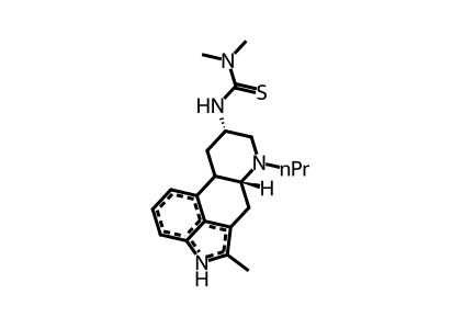 CCCN1C[C@@H](NC(=S)N(C)C)CC2c3cccc4[nH]c(C)c(c34)C[C@H]21